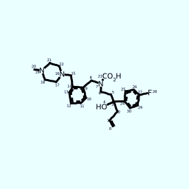 C=CCC(O)(CCN(Cc1ccccc1CN1CCN(C)CC1)C(=O)O)c1ccc(F)cc1